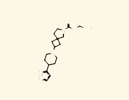 CCOC(=O)N1CCC2(CC(N3CCC(c4ccn[nH]4)CC3)C2)C1